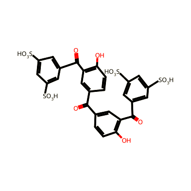 O=C(c1ccc(O)c(C(=O)c2cc(S(=O)(=O)O)cc(S(=O)(=O)O)c2)c1)c1ccc(O)c(C(=O)c2cc(S(=O)(=O)O)cc(S(=O)(=O)O)c2)c1